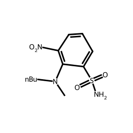 CCCCN(C)c1c([N+](=O)[O-])cccc1S(N)(=O)=O